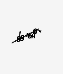 CCCCCCCCOC(CCC(=O)OCCCCCCN(CCO)CCCCCCCC(=O)OCCC(C)CCC=C(C)C)OCCCCCCCC